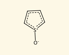 [O-][s+]1cccc1